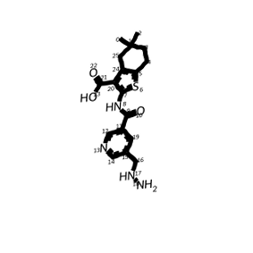 CC1(C)CCc2sc(NC(=O)c3cncc(CNN)c3)c(C(=O)O)c2C1